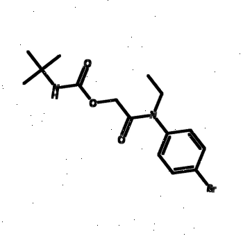 CCN(C(=O)COC(=O)NC(C)(C)C)c1ccc(Br)cc1